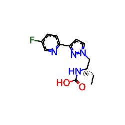 CC[C@@H](Cn1ccc(-c2ccc(F)cn2)n1)NC(=O)O